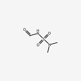 CN(C)S(=O)(=O)N[C]=O